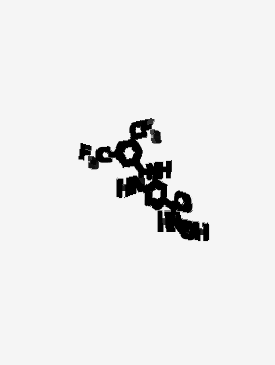 O=C(NO)c1ccc2c(c1)NC(c1cc(C(F)(F)F)cc(C(F)(F)F)c1)N2